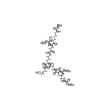 CC(C)(C)OC(=O)NCCCC[C@H](NC(=O)OC(C)(C)C)C(=O)NCCC(=O)NCCCC[C@H](NC(=O)CCNC(=O)[C@H](CCCCNC(=O)OC(C)(C)C)NC(=O)OC(C)(C)C)C(=O)NCCC(=O)O